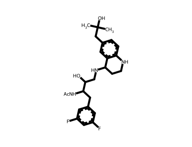 CC(=O)NC(Cc1cc(F)cc(F)c1)C(O)CNC1CCNc2ccc(CC(C)(C)O)cc21